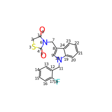 O=C1CSC(=O)N1Cc1cn(Cc2ccccc2F)c2ccccc12